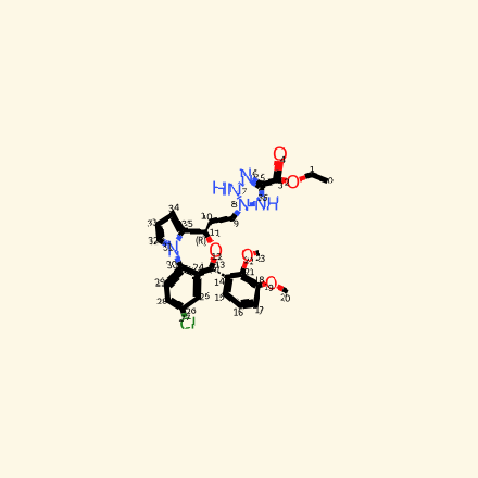 CCOC(=O)C1=NNN(CC[C@H]2O[C@H](c3cccc(OC)c3OC)c3cc(Cl)ccc3-n3cccc32)N1